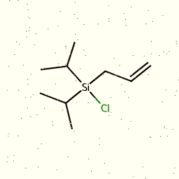 C=CC[Si](Cl)(C(C)C)C(C)C